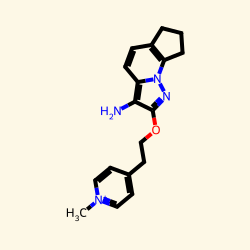 C[n+]1ccc(CCOc2nn3c4c(ccc3c2N)CCC4)cc1